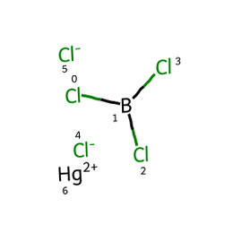 ClB(Cl)Cl.[Cl-].[Cl-].[Hg+2]